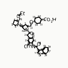 CCOC[C@@H]1CCCN1[C@H]1C[C@@H](CO[C@H]2CC[C@H](C(=O)O)CC2)N(C(=O)Cc2cc(Cl)c(NC(=O)c3csc4ccccc34)cc2F)C1